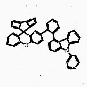 c1ccc(-n2c3ccccc3c3c(-c4ccccc4-c4ccc5c(c4)C4(c6ccccc6O5)c5ccccc5-c5ccccc54)cccc32)cc1